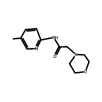 Cc1ccc(NC(=O)CN2CCOCC2)nc1